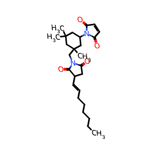 CCCCCC/C=C/C1CC(=O)N(CC2(C)CC(N3C(=O)C=CC3=O)CC(C)(C)C2)C1=O